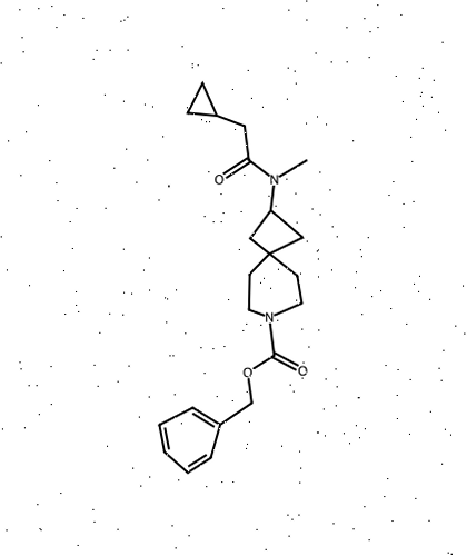 CN(C(=O)CC1CC1)C1CC2(CCN(C(=O)OCc3ccccc3)CC2)C1